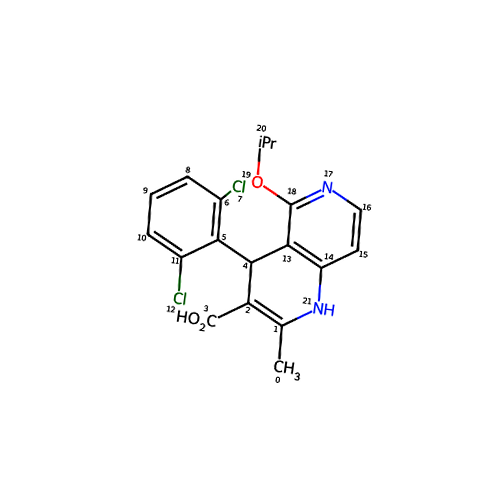 CC1=C(C(=O)O)C(c2c(Cl)cccc2Cl)c2c(ccnc2OC(C)C)N1